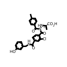 Cc1ccc(C(=O)N(N[C@@H](C)C(=O)O)C(=O)c2ccc(C(=O)NCc3cccc(O)c3)cc2Cl)cc1